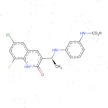 C[C@H](Nc1cccc(NC(=O)O)c1)c1cc2cc(Cl)cc(F)c2[nH]c1=O